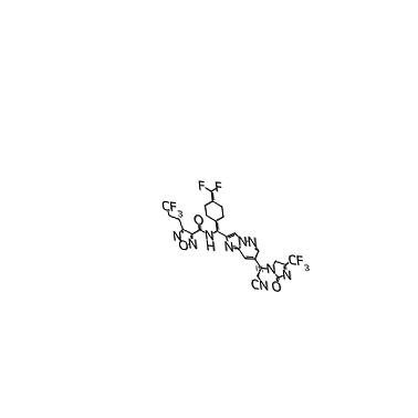 N#CC[C@@H](c1cnn2cc(C(NC(=O)c3nonc3CCC(F)(F)F)=C3CCC(=C(F)F)CC3)nc2c1)N1CC(C(F)(F)F)=NC1=O